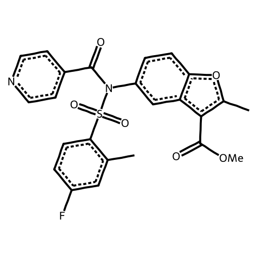 COC(=O)c1c(C)oc2ccc(N(C(=O)c3ccncc3)S(=O)(=O)c3ccc(F)cc3C)cc12